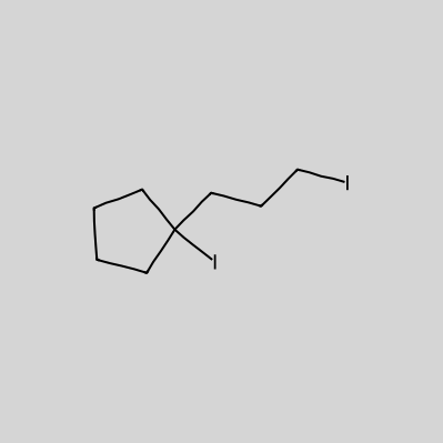 ICCCC1(I)CCCC1